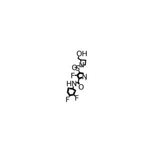 Cn1cc([S+]([O-])N2CCC2CO)c(F)c1C(=O)Nc1ccc(F)c(F)c1